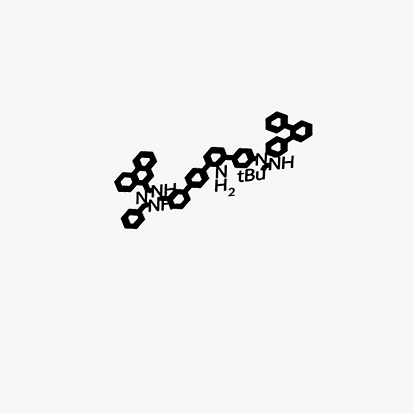 CC(C)(C)C1Nc2cc(-c3ccccc3-c3ccccc3)ccc2N1C1=CC=C(c2cccc(-c3ccc(C4C=C(C5NC(c6cc7ccccc7c7c6C=CCC7)=NC(c6ccccc6)N5)CCC4)cc3)c2N)CC1